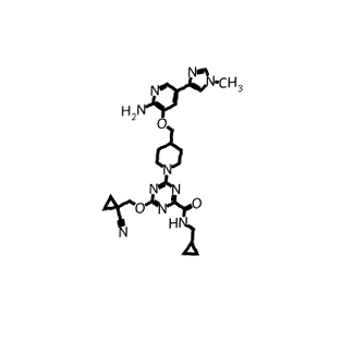 Cn1cnc(-c2cnc(N)c(OCC3CCN(c4nc(OCC5(C#N)CC5)nc(C(=O)NCC5CC5)n4)CC3)c2)c1